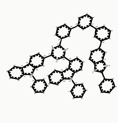 c1ccc(-c2nc3ccc(-c4cccc(-c5cccc(-c6cccc(-c7nc(-c8ccc9c%10ccccc%10n(-c%10ccccc%10)c9c8)nc(-c8cccc9c8c8ccccc8n9-c8ccccc8)n7)c6)c5)c4)cc3o2)cc1